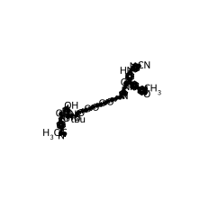 Cc1ncsc1-c1ccc(CNC(=O)[C@@H]2C[C@@H](O)CN2C(=O)[C@@H](NC(=O)COCCOCCOCCOCCOCCCCn2cc(CNC(=O)N(c3ccc(-c4ccc(=O)n(C)c4)cc3)C3CCC(Nc4ccc(C#N)cn4)CC3)cn2)C(C)(C)C)cc1